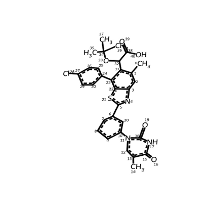 Cc1cc2nc(-c3cccc(-n4cc(C)c(=O)[nH]c4=O)c3)sc2c(-c2ccc(Cl)cc2)c1C(OC(C)(C)C)C(=O)O